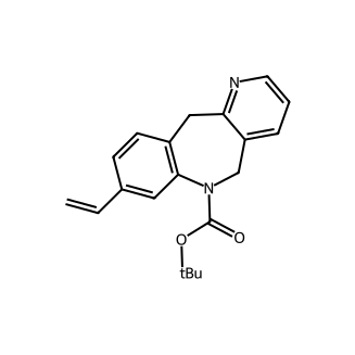 C=Cc1ccc2c(c1)N(C(=O)OC(C)(C)C)Cc1cccnc1C2